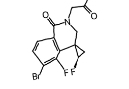 COC(=O)CN1CC2(C[C@H]2F)c2c(ccc(Br)c2F)C1=O